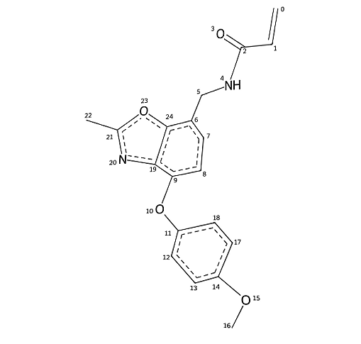 C=CC(=O)NCc1ccc(Oc2ccc(OC)cc2)c2nc(C)oc12